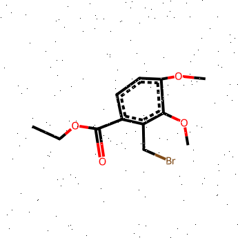 CCOC(=O)c1ccc(OC)c(OC)c1CBr